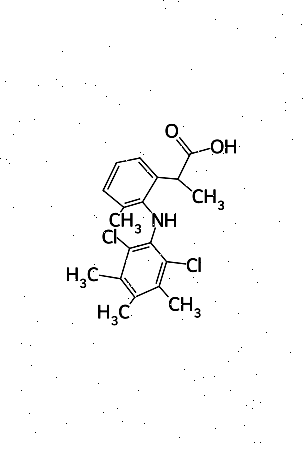 Cc1cccc(C(C)C(=O)O)c1Nc1c(Cl)c(C)c(C)c(C)c1Cl